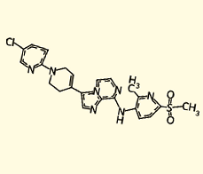 Cc1nc(S(C)(=O)=O)ccc1Nc1nccn2c(C3=CCN(c4ccc(Cl)cn4)CC3)cnc12